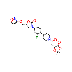 CC1(C)OC(=O)[C@@H](CC(=O)N2CC=C(c3ccc(N4C[C@H](COc5ccon5)OC4=O)cc3F)CC2)O1